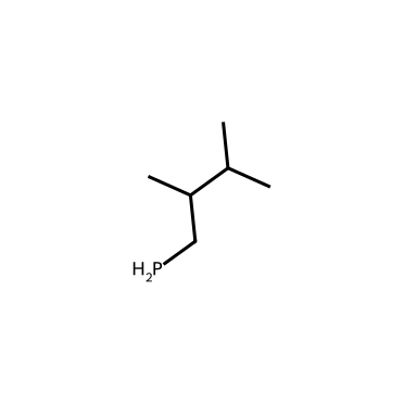 CC(C)C(C)CP